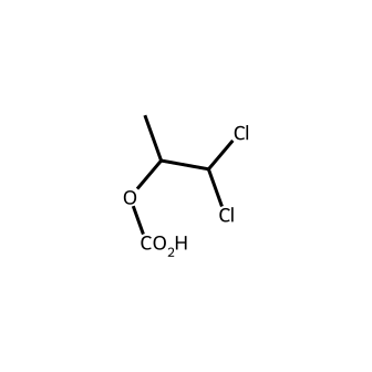 CC(OC(=O)O)C(Cl)Cl